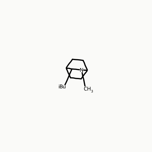 CCC(C)C1C2CCC(CC2)N1C